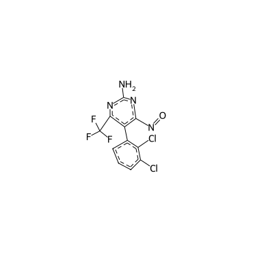 Nc1nc(N=O)c(-c2cccc(Cl)c2Cl)c(C(F)(F)F)n1